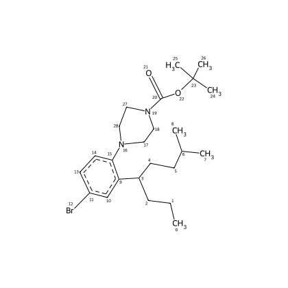 CCCC(CCC(C)C)c1cc(Br)ccc1N1CCN(C(=O)OC(C)(C)C)CC1